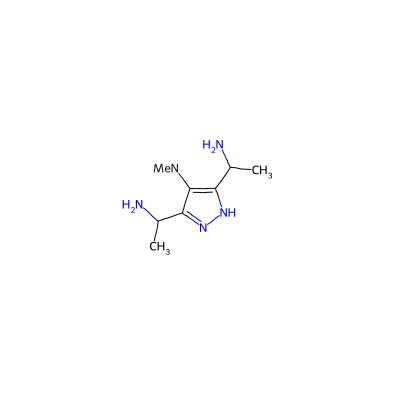 CNc1c(C(C)N)n[nH]c1C(C)N